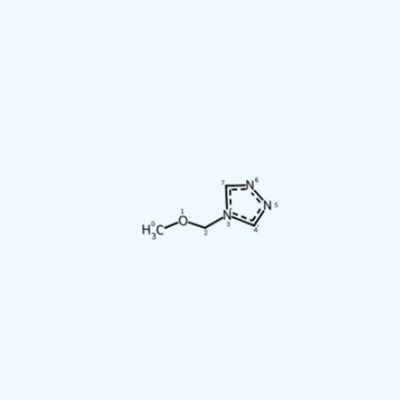 COCn1[c]nnc1